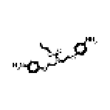 CCCOC(=O)N(CCOc1ccc(N)cc1)CCOc1ccc(N)cc1